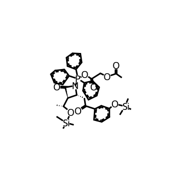 CC(=O)OCC(=O)OP(c1ccccc1)(c1ccccc1)(c1ccccc1)N1C(=O)[C@H]([C@@H](C)O[Si](C)(C)C)[C@H]1CC(=O)c1cccc(O[Si](C)(C)C)c1